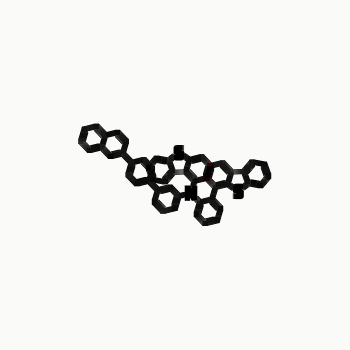 c1cc(-c2ccc(-c3ccc4ccccc4c3)cc2)cc(N(c2ccccc2-c2cccc3c2sc2ccccc23)c2cccc3sc4ccccc4c23)c1